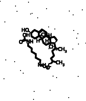 CC(C)CCC[C@@H](C)[C@H]1CC[C@H]2[C@@H]3CC=C4C[C@@H](O)CC[C@]4(C)[C@H]3CC[C@]12C.O=C=NCCCCCCNC(=O)O